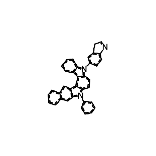 C1=Nc2ccc(-n3c4ccccc4c4c5c6cc7ccccc7cc6n(-c6ccccc6)c5ccc43)cc2C1